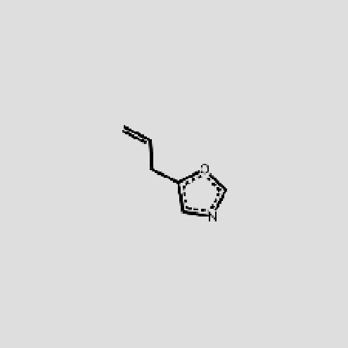 C=CCc1cnco1